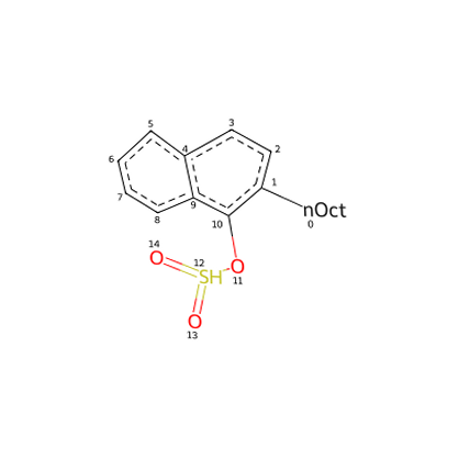 CCCCCCCCc1ccc2ccccc2c1O[SH](=O)=O